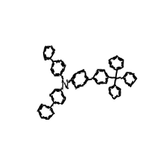 c1ccc(-c2ccc(N(c3ccc(-c4ccccc4)cc3)c3ccc(-c4ccc(C(c5ccccc5)(c5ccccc5)c5ccccc5)cc4)cc3)cc2)cc1